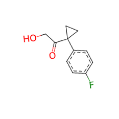 O=C(CO)C1(c2ccc(F)cc2)CC1